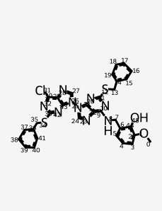 COc1cccc(CNc2nc(SCc3ccccc3)nc3c2ncn3-n2cnc3c(Cl)nc(SCc4ccccc4)nc32)c1O